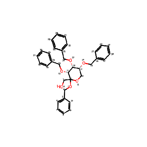 OCC1(OCc2ccccc2)OC[C@@H](OCc2ccccc2)[C@@H](OCc2ccccc2)[C@H]1OCc1ccccc1